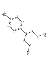 Oc1ccc(N(CCCl)CCCl)cc1